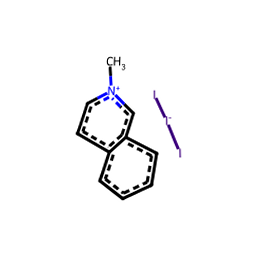 C[n+]1ccc2ccccc2c1.I[I-]I